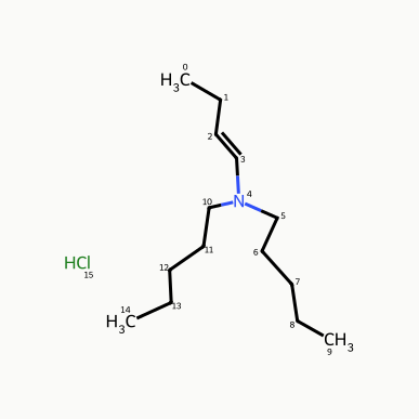 CCC=CN(CCCCC)CCCCC.Cl